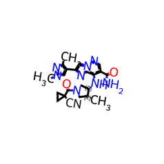 Cc1nn(C)cc1-c1cn2ncc(C(N)=O)c(N[C@@H]3CN(C(=O)C4(C#N)CC4)C[C@H]3C)c2n1